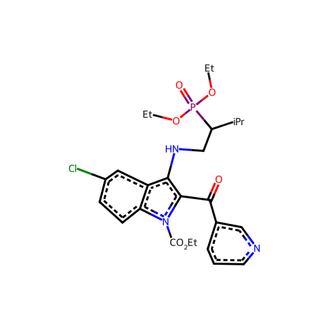 CCOC(=O)n1c(C(=O)c2cccnc2)c(NCC(C(C)C)P(=O)(OCC)OCC)c2cc(Cl)ccc21